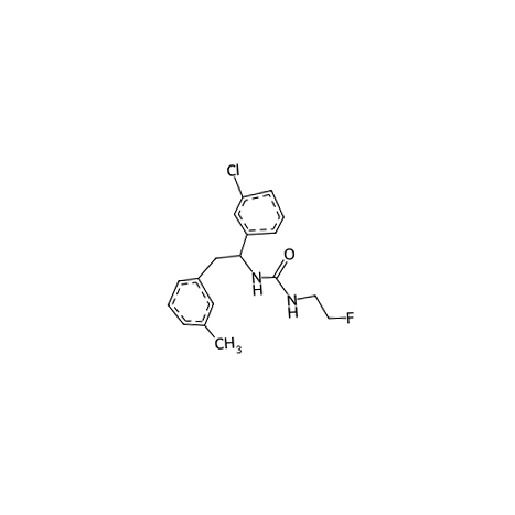 Cc1cccc(CC(NC(=O)NCCF)c2cccc(Cl)c2)c1